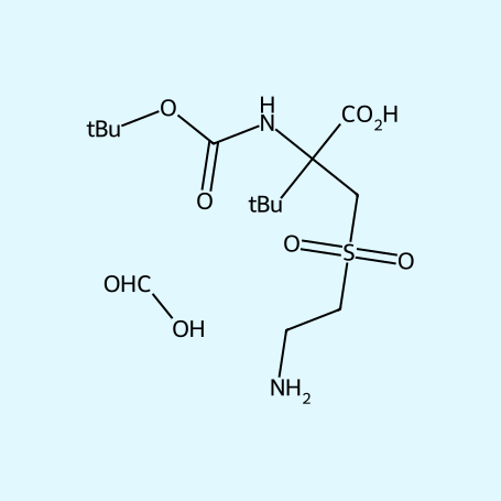 CC(C)(C)OC(=O)NC(CS(=O)(=O)CCN)(C(=O)O)C(C)(C)C.O=CO